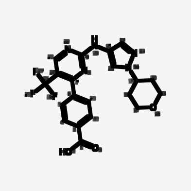 O=C(O)c1ccc(-c2nc(Nc3cnn(C4CCOCC4)c3)ncc2C(F)(F)F)cc1